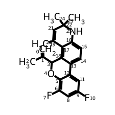 C=C(C)C1Oc2c(F)cc(F)cc2-c2ccc3c(c21)C(C)=CC(C)(C)N3